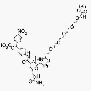 CC(C)C(NC(=O)CCOCCOCCOCCOCCONC(=O)OC(C)(C)C)C(=O)NC(CCCNC(N)=O)C(=O)Nc1ccc(C(OC(=O)O)c2ccc([N+](=O)[O-])cc2)cc1